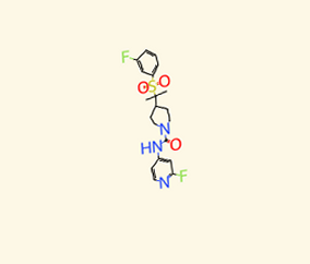 CC(C)(C1CCN(C(=O)Nc2ccnc(F)c2)CC1)S(=O)(=O)c1cccc(F)c1